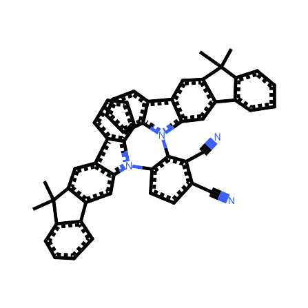 CC1(C)c2ccccc2-c2cc3c(cc21)c1ccccc1n3-c1ccc(C#N)c(C#N)c1-n1c2ccccc2c2cc3c(cc21)-c1ccccc1C3(C)C